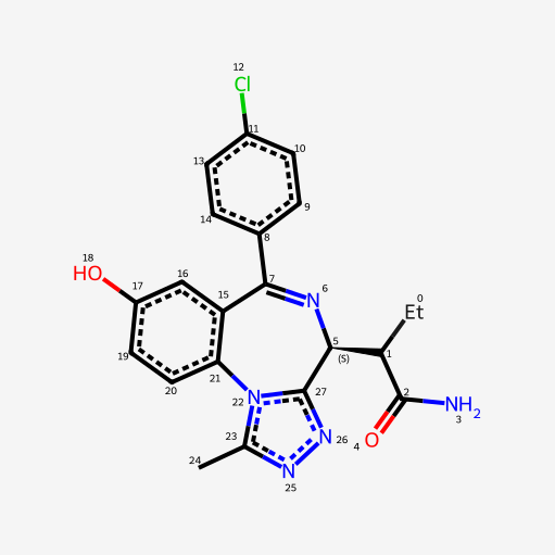 CCC(C(N)=O)[C@@H]1N=C(c2ccc(Cl)cc2)c2cc(O)ccc2-n2c(C)nnc21